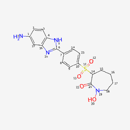 Nc1ccc2[nH]c(-c3ccc(S(=O)(=O)C4CCCCN(O)C4=O)cc3)nc2c1